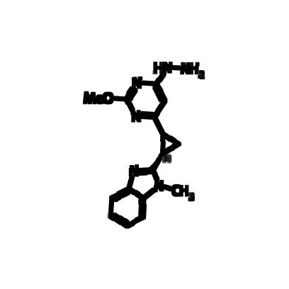 COc1nc(NN)cc(C2C[C@H]2c2nc3ccccc3n2C)n1